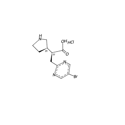 Cl.O=C(O)[C@@H](Cc1ncc(Br)cn1)[C@H]1CCNC1